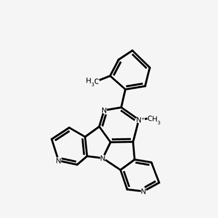 Cc1ccccc1-c1nc2c3ccncc3n3c4cnccc4c(c23)[n+]1C